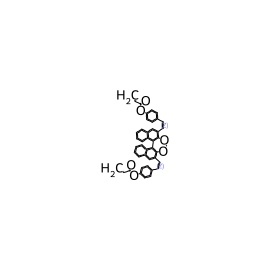 C=CC(=O)Oc1ccc(/C=C\c2cc3ccccc3c3c2OCOc2c(/C=C\c4ccc(OC(=O)C=C)cc4)cc4ccccc4c2-3)cc1